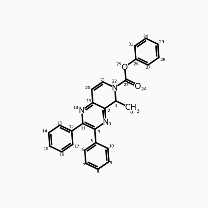 CC1c2nc(-c3ccccc3)c(-c3ccccc3)nc2C=CN1C(=O)Oc1ccccc1